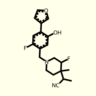 CC(C#N)C1(C)CCN(Cc2cc(O)c(-c3ccoc3)cc2F)CC1F